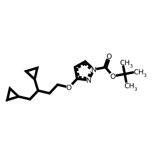 CC(C)(C)OC(=O)n1ccc(OCCC(CC2CC2)C2CC2)n1